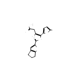 O=C(O)Cc1nc(-c2cc3c(s2)CCC3)oc1-c1ccc(Cl)s1